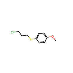 COc1ccc(SCCCCl)cc1